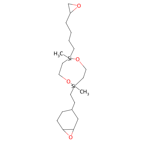 C[Si]1(CCCCC2CO2)CCO[Si](C)(CCC2CCC3OC3C2)CCO1